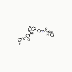 O=C(/C=C/C1=CC=C(c2ccc3ncnc(Nc4ccc(OCc5cccc(F)c5)c(Cl)c4)c3c2)C1)NOC1CCCCO1